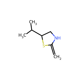 C=C1NCC(C(C)C)S1